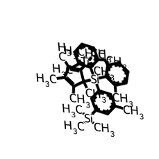 CC1=C(C)C(C)([Si](c2cc(C)cc([Si](C)(C)C)c2)(c2c(C)cccc2C)c2c(C)cccc2C)[C]([Ti]([CH3])([CH3])[CH3])=C1C